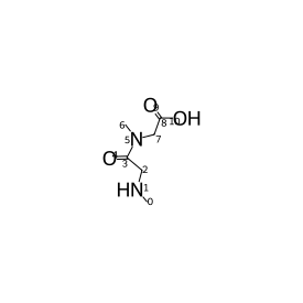 CNCC(=O)N(C)CC(=O)O